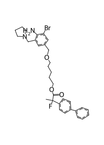 CC(F)(C(=O)OCCCCCOCc1cc(Br)c(N)c(CN2CCCC2)c1)c1ccc(-c2ccccc2)cc1